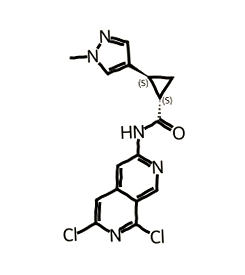 Cn1cc([C@H]2C[C@@H]2C(=O)Nc2cc3cc(Cl)nc(Cl)c3cn2)cn1